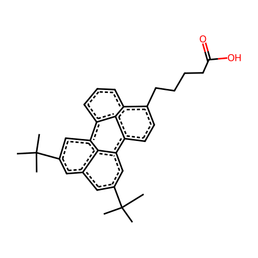 CC(C)(C)c1cc2cc(C(C)(C)C)cc3c4ccc(CCCCC(=O)O)c5cccc(c(c1)c23)c54